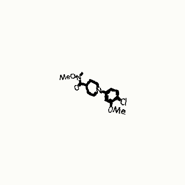 COc1cc(N2CCC(C(=O)N(C)OC)CC2)ccc1Cl